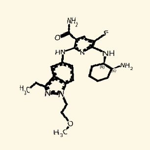 CCc1nn(CCOC)c2ccc(Nc3nc(N[C@@H]4CCCC[C@@H]4N)c(F)cc3C(N)=O)cc12